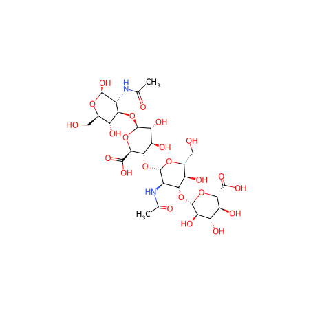 CC(=O)N[C@@H]1[C@@H](O[C@@H]2O[C@H](C(=O)O)[C@@H](O[C@@H]3O[C@H](CO)[C@@H](O)[C@H](O[C@@H]4O[C@H](C(=O)O)[C@@H](O)[C@H](O)[C@H]4O)[C@H]3NC(C)=O)[C@H](O)[C@H]2O)[C@H](O)[C@@H](CO)O[C@H]1O